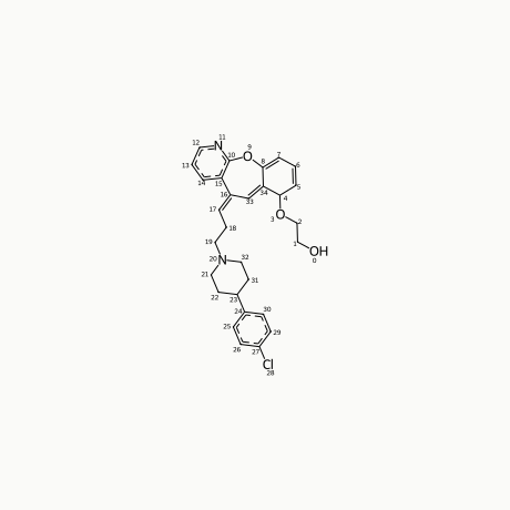 OCCOC1C=CC=C2Oc3ncccc3C(=CCCN3CCC(c4ccc(Cl)cc4)CC3)C=C21